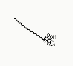 CCCCCCCCCCCCCCCCCCCCCc1cc(=O)c2c(O)c(C)c(O)c(C)c2o1